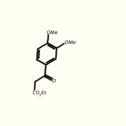 CCOC(=O)CC(=O)c1ccc(OC)c(OC)c1